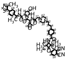 Cc1ncsc1-c1ccc([C@H](C)NC(=O)[C@@H]2C[C@@H](O)CN2C(=O)[C@@H](NC(=O)CN2CCN(CCCc3ccc(C(=O)NC4C(C)(C)C(Oc5ccc(C#N)c(C#N)c5)C4(C)C)cc3)CC2)C2COC2)cc1